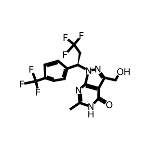 Cc1nc2c(c(CO)nn2[C@H](CC(F)(F)F)c2ccc(C(F)(F)F)cc2)c(=O)[nH]1